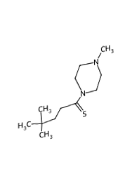 CN1CCN(C(=S)CCC(C)(C)C)CC1